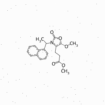 COC(=O)CCc1c(OC)oc(=O)n1C(C)c1cccc2ccccc12